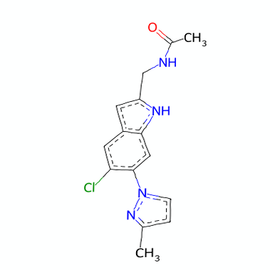 CC(=O)NCc1cc2cc(Cl)c(-n3ccc(C)n3)cc2[nH]1